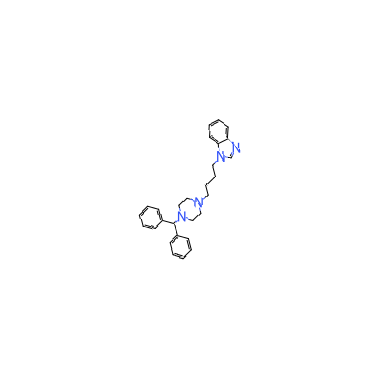 c1ccc(C(c2ccccc2)N2CCN(CCCCn3cnc4ccccc43)CC2)cc1